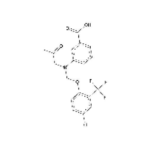 CC(=O)CN(COc1ccc(Cl)cc1C(F)(F)F)c1cccc(C(=O)O)c1